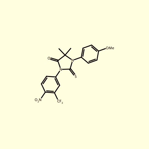 COc1ccc(N2C(=S)N(c3ccc([N+](=O)[O-])c(C(F)(F)F)c3)C(=O)C2(C)C)cc1